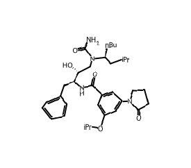 CCCC[C@@H](CC(C)C)N(C[C@@H](O)[C@H](Cc1ccccc1)NC(=O)c1cc(OC(C)C)cc(N2CCCC2=O)c1)C(N)=O